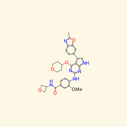 COc1cc(C(=O)NC2COC2)ccc1Nc1nc(OC2CCOCC2)c2c(-c3ccc4nc(C)oc4c3)c[nH]c2n1